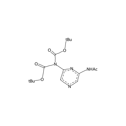 CC(=O)Nc1cncc(N(C(=O)OC(C)(C)C)C(=O)OC(C)(C)C)n1